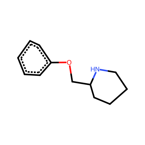 c1ccc(OCC2CCCCN2)cc1